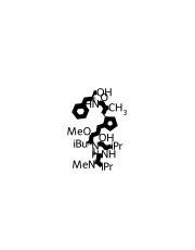 CCC(C)[C@H](NC(O)C(N[C@@H](I)[C@@H](NC)C(C)C)C(C)C)C(CCC1CCC[C@H]1CC(C)C(=O)N[C@H](CO)CC1=CCCCC1)OC